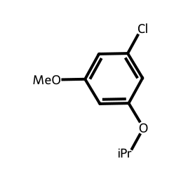 COc1cc(Cl)cc(OC(C)C)c1